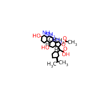 CC(=O)O[C@H]1C[C@@]2(C)[C@@H](C[C@@H](O)[C@@H]3[C@]2(N)CC[C@@]2(N)[C@H](N)[C@H](O)CC[C@]32C)/C1=C(/C(=O)O)C1CCCC(=C(C)C)C1